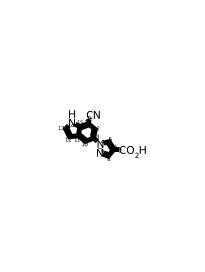 N#Cc1cc(-n2cc(C(=O)O)cn2)cc2cc[nH]c12